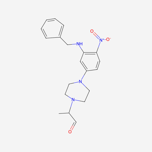 CC(C=O)N1CCN(c2ccc([N+](=O)[O-])c(NCc3ccccc3)c2)CC1